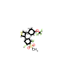 CS(=O)(=O)c1c(F)cc(-c2cscc2-c2ccc(OC(F)(F)F)cc2)cc1F